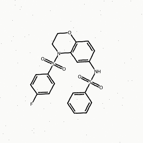 O=S(=O)(Nc1ccc2c(c1)N(S(=O)(=O)c1ccc(F)cc1)CCO2)c1ccccc1